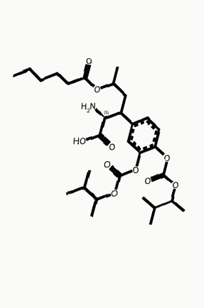 CCCCCC(=O)OC(C)CC(c1ccc(OC(=O)OC(C)C(C)C)c(OC(=O)OC(C)C(C)C)c1)[C@H](N)C(=O)O